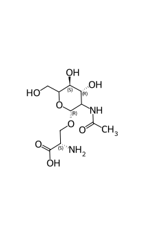 CC(=O)NC1[C@H](OC[C@H](N)C(=O)O)OC(CO)[C@@H](O)[C@@H]1O